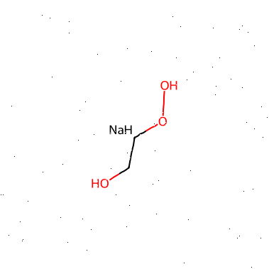 OCCOO.[NaH]